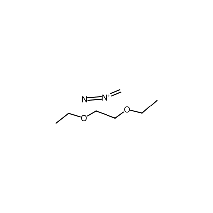 C=[N+]=[N-].CCOCCOCC